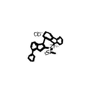 CC1=Cc2c(-c3ccccc3)cccc2C1c1cccc2c1[CH]([Zr+2][Si](C)C)c1ccccc1-2.[Cl-].[Cl-]